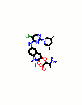 CC(C(Oc1cc2cc(Nc3nc(N4C[C@H](C)C[C@H](C)C4)ncc3Cl)ccc2n(C)c1=O)C(=O)O)N(C)C